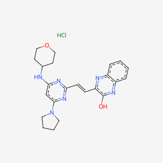 Cl.Oc1nc2ccccc2nc1C=Cc1nc(NC2CCOCC2)cc(N2CCCC2)n1